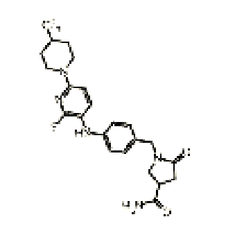 NC(=O)C1CC(=O)N(Cc2ccc(Nc3ccc(N4CCC(C(F)(F)F)CC4)nc3F)cc2)C1